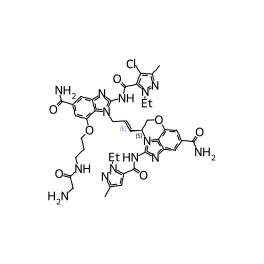 CCn1nc(C)cc1C(=O)Nc1nc2cc(C(N)=O)cc3c2n1[C@@H](/C=C/Cn1c(NC(=O)c2c(Cl)c(C)nn2CC)nc2cc(C(N)=O)cc(OCCCNC(=O)CN)c21)CO3